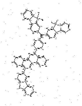 CC1(C)c2ccccc2-c2ccc(N(c3ccc(-c4cc5c6ccccc6c(-c6ccc7sc8ccccc8c7c6)cc5c5ccccc45)cc3)c3ccc4c(c3)C(C)(C)c3ccccc3-4)cc21